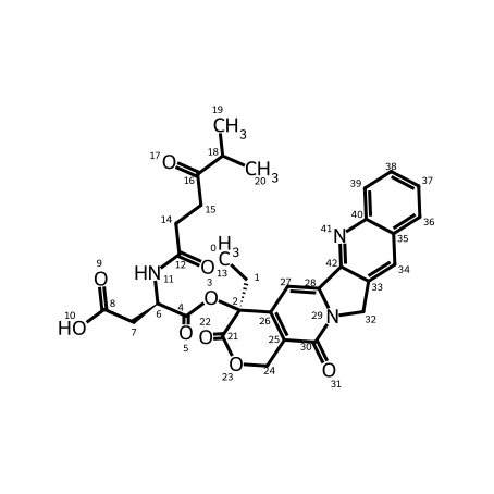 CC[C@@]1(OC(=O)[C@@H](CC(=O)O)NC(=O)CCC(=O)C(C)C)C(=O)OCc2c1cc1n(c2=O)Cc2cc3ccccc3nc2-1